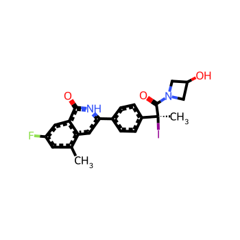 Cc1cc(F)cc2c(=O)[nH]c(-c3ccc([C@](C)(I)C(=O)N4CC(O)C4)cc3)cc12